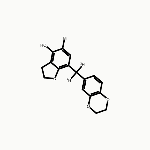 [2H]C([2H])(c1ccc2c(c1)OCCO2)c1cc(Br)c(O)c2c1OCC2